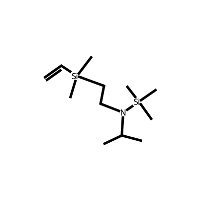 C=C[Si](C)(C)CCN(C(C)C)[Si](C)(C)C